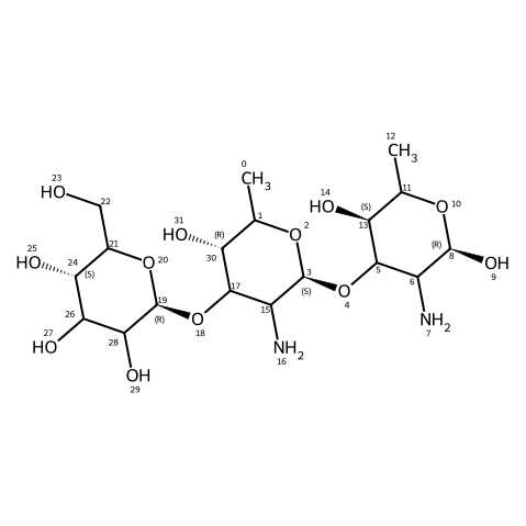 CC1O[C@@H](OC2C(N)[C@H](O)OC(C)[C@@H]2O)C(N)C(O[C@@H]2OC(CO)[C@@H](O)C(O)C2O)[C@@H]1O